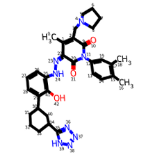 CC1=C(CN2CCCC2)C(=O)N(c2ccc(C)c(C)c2)C(=O)C1=NNc1cccc(C2CCCC(c3nnn[nH]3)C2)c1O